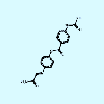 N=C(N)Nc1ccc(C(=O)Oc2ccc(/C=C/C(N)=O)cc2)cc1